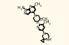 Cc1cc(N2CC[C@@H](c3ncc(N4CCNC5(CC5)C4)cc3C)[C@H](C)C2)c2cnn(C)c2n1